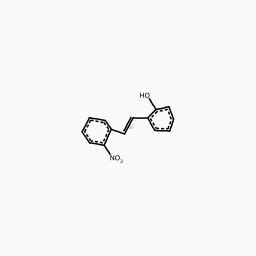 O=[N+]([O-])c1ccccc1/C=C/c1ccccc1O